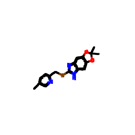 Cc1ccc(CSc2nc3cc4c(cc3[nH]2)OC(C)(C)O4)nc1